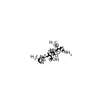 CON=C(C(=O)N[C@@H]1C(=O)N2C(C(=O)O)=C(CSC3=NN4C(C)=CCN=C4S3)CS[C@H]12)c1csc(N)n1